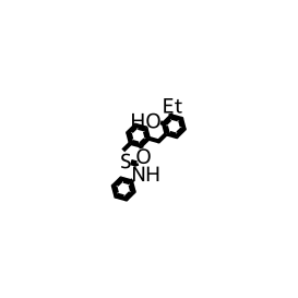 CCc1cccc(Cc2cccc(C)c2OC(=S)Nc2ccccc2)c1O